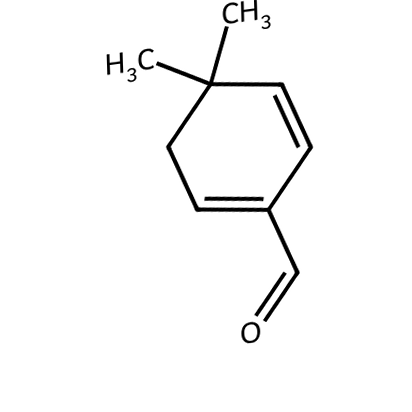 CC1(C)C=CC(C=O)=CC1